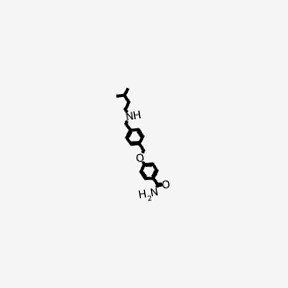 CC(C)CCNCc1ccc(COc2ccc(C(N)=O)cc2)cc1